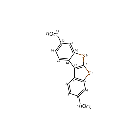 CCCCCCCCc1ccc2c(c1)sc1sc3cc(CCCCCCCC)ccc3c12